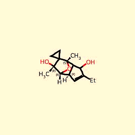 CCC1=C[C@@H]2C(C1O)[C@]1(C)O[C@H]2[C@](C)(O)C12CC2